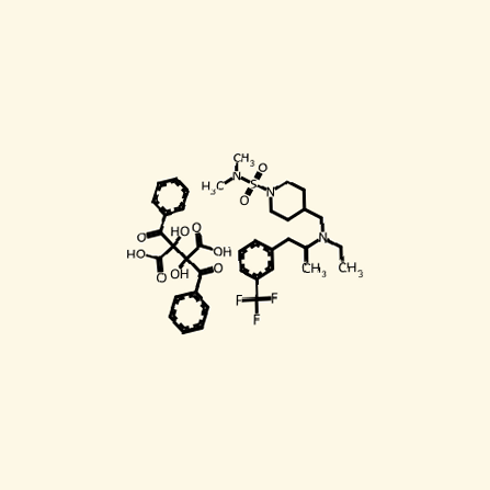 CCN(CC1CCN(S(=O)(=O)N(C)C)CC1)C(C)Cc1cccc(C(F)(F)F)c1.O=C(O)C(O)(C(=O)c1ccccc1)C(O)(C(=O)O)C(=O)c1ccccc1